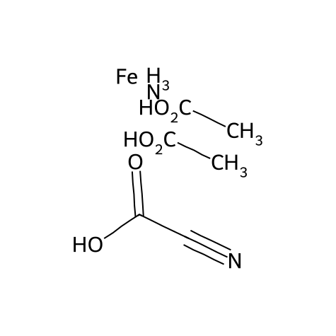 CC(=O)O.CC(=O)O.N.N#CC(=O)O.[Fe]